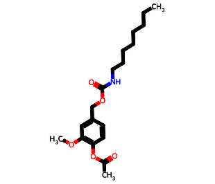 CCCCCCCCNC(=O)OCc1ccc(OC(C)=O)c(OC)c1